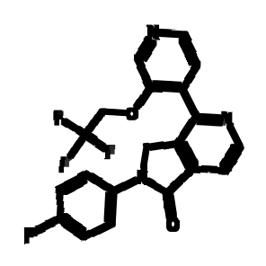 O=C1c2ccnc(-c3ccncc3OCC(F)(F)F)c2CN1c1ccc(F)cc1